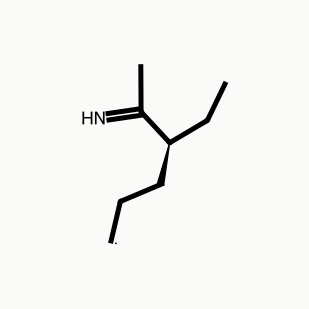 [CH2]CC[C@H](CC)C(C)=N